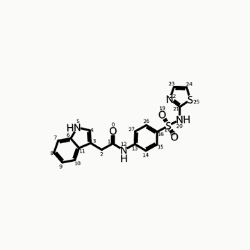 O=C(Cc1c[nH]c2ccccc12)Nc1ccc(S(=O)(=O)Nc2nccs2)cc1